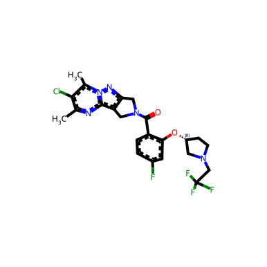 Cc1nc2c3c(nn2c(C)c1Cl)CN(C(=O)c1ccc(F)cc1O[C@@H]1CCN(CC(F)(F)F)C1)C3